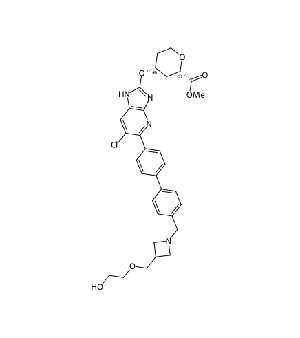 COC(=O)[C@@H]1C[C@H](Oc2nc3nc(-c4ccc(-c5ccc(CN6CC(COCCO)C6)cc5)cc4)c(Cl)cc3[nH]2)CCO1